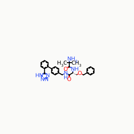 CC(C)(N)C(=O)N[C@H](COCc1ccccc1)C(=O)NCc1ccc(-c2ccccc2-c2nnn[nH]2)cc1